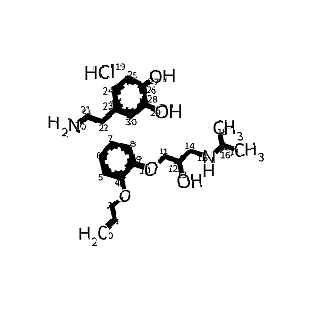 C=CCOc1ccccc1OCC(O)CNC(C)C.Cl.NCCc1ccc(O)c(O)c1